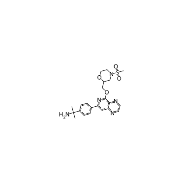 CC(C)(N)c1ccc(-c2cc3nccnc3c(OCC3CN(S(C)(=O)=O)CCO3)n2)cc1